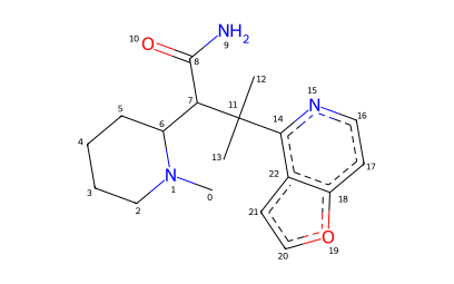 CN1CCCCC1C(C(N)=O)C(C)(C)c1nccc2occc12